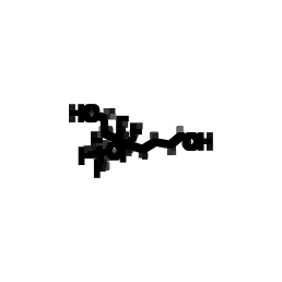 OCCCCC(F)(F)C(F)(CCO)OC(F)(F)F